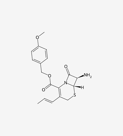 CC=CC1=C(C(=O)OCc2ccc(OC)cc2)N2C(=O)[C@@H](N)[C@@H]2SC1